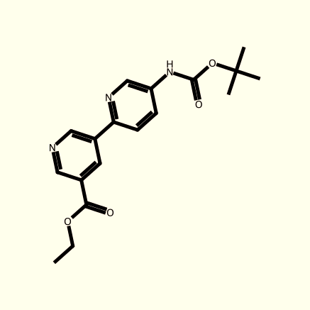 CCOC(=O)c1cncc(-c2ccc(NC(=O)OC(C)(C)C)cn2)c1